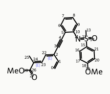 C=C/C(C#Cc1ccccc1N=S(C)(=O)c1ccc(OC)cc1)=C\C=C(/C)C(=O)OC